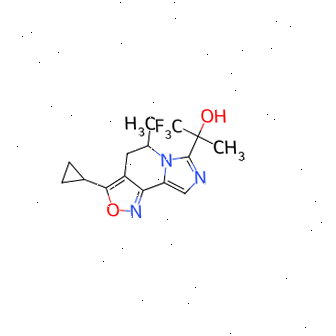 CC1Cc2c(noc2C2CC2)-c2cnc(C(C)(O)C(F)(F)F)n21